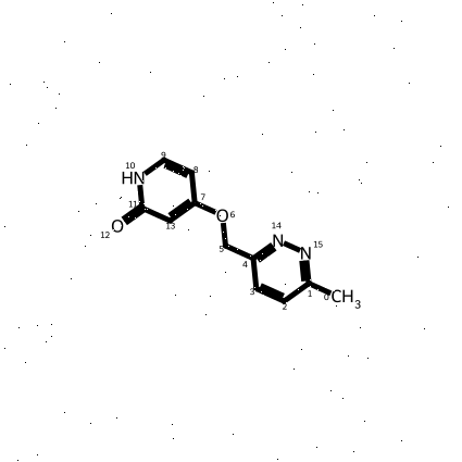 Cc1ccc(COc2cc[nH]c(=O)c2)nn1